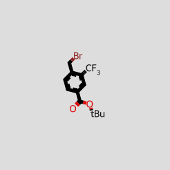 CC(C)(C)OC(=O)c1ccc(CBr)c(C(F)(F)F)c1